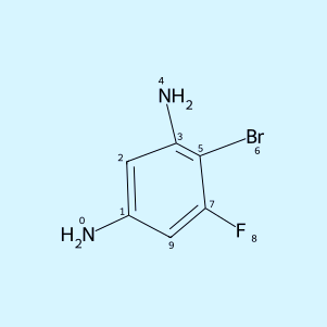 Nc1cc(N)c(Br)c(F)c1